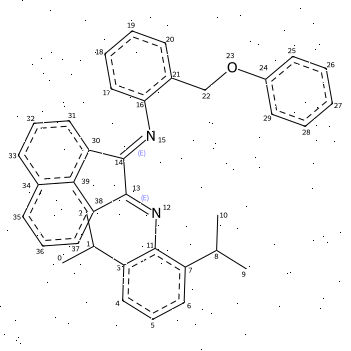 CC(C)c1cccc(C(C)C)c1/N=C1/C(=N/c2ccccc2COc2ccccc2)c2cccc3cccc1c23